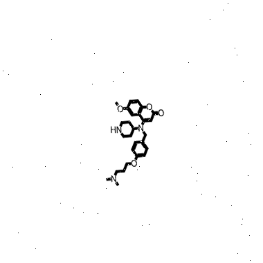 COc1ccc2oc(=O)cc(N(Cc3ccc(OCCCN(C)C)cc3)C3CCNCC3)c2c1